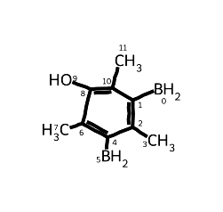 Bc1c(C)c(B)c(C)c(O)c1C